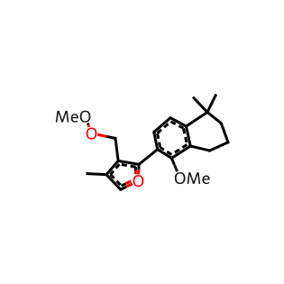 COOCc1c(C)coc1-c1ccc2c(c1OC)CCCC2(C)C